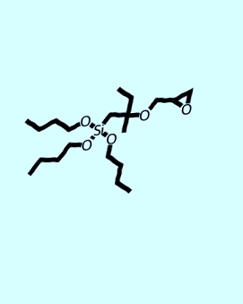 CCCCO[Si](CC(C)(CC)OCC1CO1)(OCCCC)OCCCC